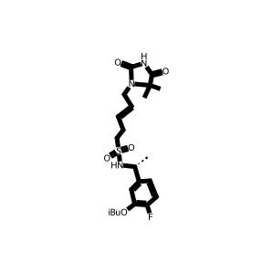 CC(C)COc1cc([C@@H](C)NS(=O)(=O)CCC=CCN2C(=O)NC(=O)C2(C)C)ccc1F